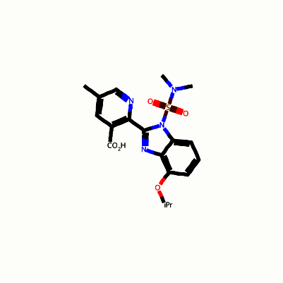 Cc1cnc(-c2nc3c(OC(C)C)cccc3n2S(=O)(=O)N(C)C)c(C(=O)O)c1